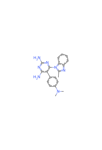 Cc1nc2ccccc2n1-c1nc(N)nc(N)c1-c1ccc(N(C)C)cc1